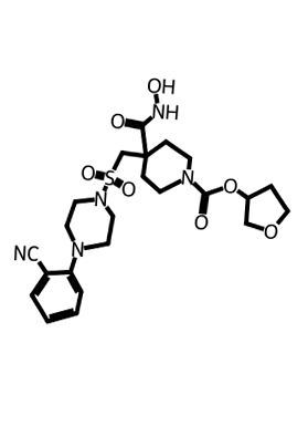 N#Cc1ccccc1N1CCN(S(=O)(=O)CC2(C(=O)NO)CCN(C(=O)OC3CCOC3)CC2)CC1